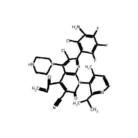 C=CC(=O)c1c(C#N)c(=O)n(-c2c(C)ccnc2C(C)C)c2nc(-c3c(F)c(F)c(F)c(N)c3Cl)c(Cl)c(N3CCNCC3)c12